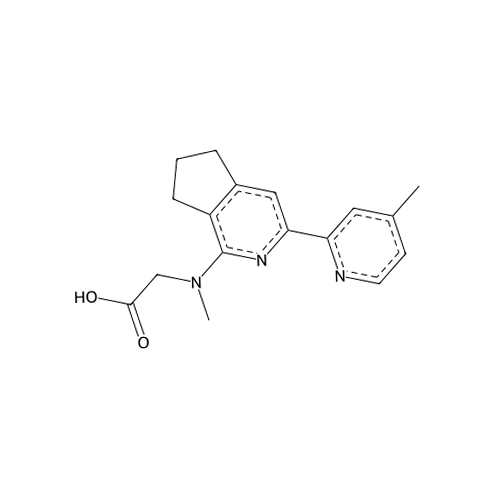 Cc1ccnc(-c2cc3c(c(N(C)CC(=O)O)n2)CCC3)c1